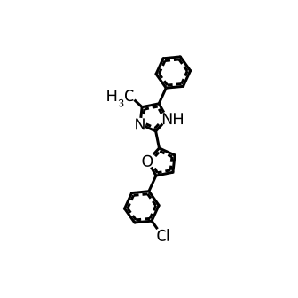 Cc1nc(-c2ccc(-c3cccc(Cl)c3)o2)[nH]c1-c1ccccc1